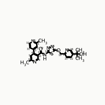 Cc1cc(-c2cc(C)ncc2C(=O)Nc2nnc(OCc3ccc(C(C)(C)O)cn3)s2)ccn1